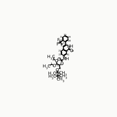 CCOC(OCC)C(CO[Si](C)(C)C(C)(C)C)OC(=O)Nc1ccc2cc(-c3ccccc3C(F)(F)F)[nH]c(=O)c2c1